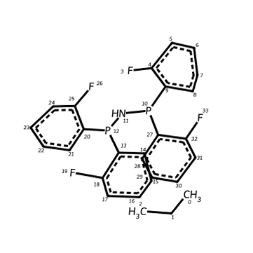 CCC.Fc1ccccc1P(NP(c1ccccc1F)c1ccccc1F)c1ccccc1F